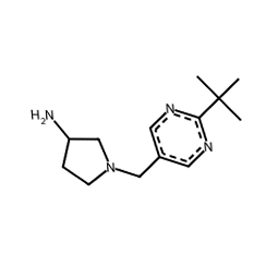 CC(C)(C)c1ncc(CN2CCC(N)C2)cn1